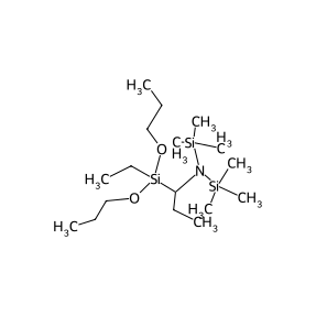 CCCO[Si](CC)(OCCC)C(CC)N([Si](C)(C)C)[Si](C)(C)C